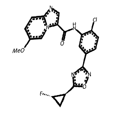 COc1ccc2ncc(C(=O)Nc3cc(-c4noc([C@H]5C[C@@H]5F)n4)ccc3Cl)n2c1